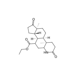 CCOC(=O)C1CC2NC(=O)CC[C@]2(C)[C@@H]2CC[C@]3(C)C(=O)CC[C@H]3[C@H]12